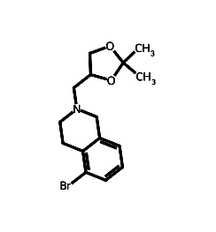 CC1(C)OCC(CN2CCc3c(Br)cccc3C2)O1